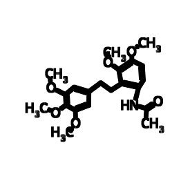 COc1cc(CCc2c(NC(C)=O)ccc(OC)c2OC)cc(OC)c1OC